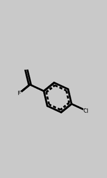 [CH]=C(F)c1ccc(Cl)cc1